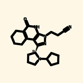 N#CCCn1nc([C@H]2CCCN2C2CCCC2)c2c3c(c(=O)[nH]c21)CCCC3